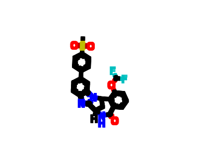 CS(=O)(=O)c1ccc(-c2ccc3nc4n(c3c2)C2C[C@@H]4NC(=O)c3cccc(OC(F)F)c32)cc1